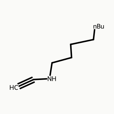 C#CNCCCCCCCC